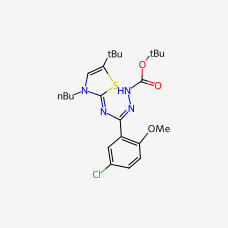 CCCCn1cc(C(C)(C)C)s/c1=N\C(=NNC(=O)OC(C)(C)C)c1cc(Cl)ccc1OC